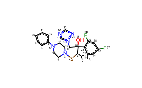 C[C@@H](SN1CCN(c2ccccc2)CC1)[C@](O)(Cn1cncn1)c1ccc(F)cc1F